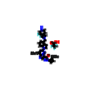 CNc1cc(N2CCc3c(CN4CC5(CCNCC5(F)F)C4)cccc32)nn2c(C(=O)N[C@@H]3CC[C@H]3OC)cnc12.O=C(O)C(F)(F)F